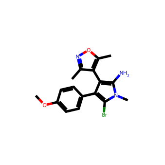 COc1ccc(-c2c(-c3c(C)noc3C)c(N)n(C)c2Br)cc1